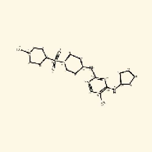 CN1CCC(S(=O)(=O)N2CCC(Nc3ncc(C#N)c(NC4CCCC4)n3)CC2)CC1